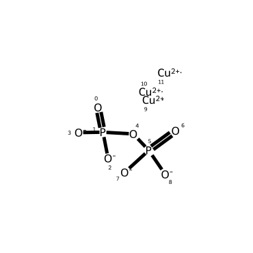 O=P([O-])([O-])OP(=O)([O-])[O-].[Cu+2].[Cu+2].[Cu+2]